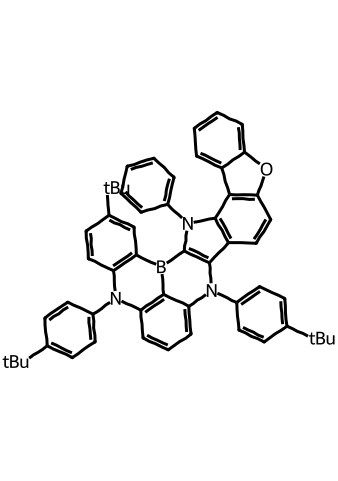 CC(C)(C)c1ccc(N2c3ccc(C(C)(C)C)cc3B3c4c2cccc4N(c2ccc(C(C)(C)C)cc2)c2c3n(-c3ccccc3)c3c2ccc2oc4ccccc4c23)cc1